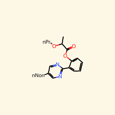 CCCCCCCCCc1cnc(-c2ccccc2OC(=O)C(C)OCCC)nc1